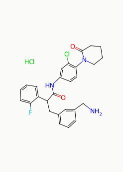 Cl.NCc1cccc(CC(C(=O)Nc2ccc(N3CCCCC3=O)c(Cl)c2)c2ccccc2F)c1